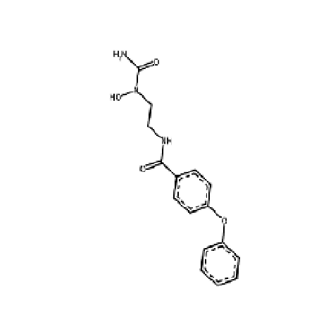 NC(=O)N(O)CCNC(=O)c1ccc(Oc2ccccc2)cc1